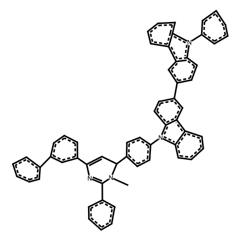 CN1C(c2ccccc2)=NC(c2cccc(-c3ccccc3)c2)=CC1c1ccc(-n2c3ccccc3c3cc(-c4ccc5c(c4)c4ccccc4n5-c4ccccc4)ccc32)cc1